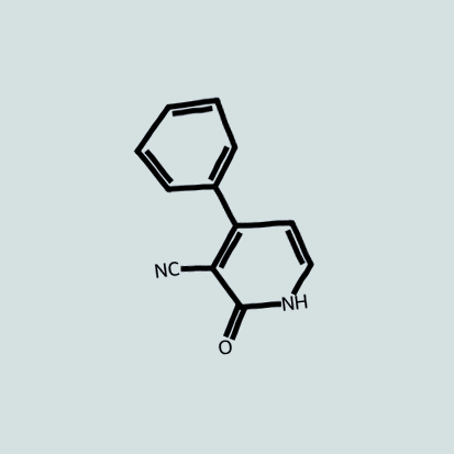 N#Cc1c(-c2ccccc2)cc[nH]c1=O